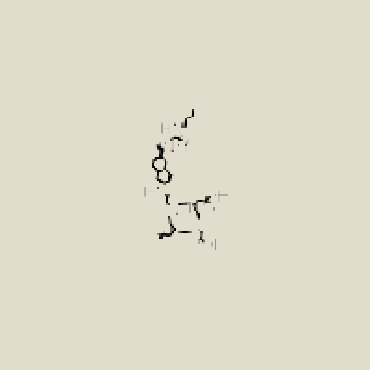 CCCCNC(=O)CNC(=O)c1ccc2cc(NC(=O)CN3CCN(CC(=O)O)CCN(CC(=O)O)CCN(CC(=O)O)CC3)ccc2c1